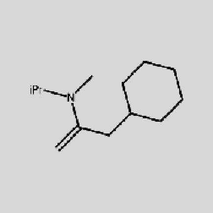 C=C(CC1CCCCC1)N(C)C(C)C